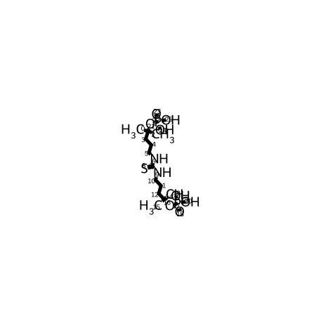 CC(C)(CCCNC(=S)NCCCC(C)(C)OP(=O)(O)O)OP(=O)(O)O